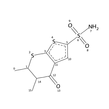 CC1Sc2sc(S(N)(=O)=O)cc2C(=O)C1C